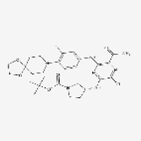 Cc1cc(Nc2nc(N[C@@H]3CCN(C(=O)OC(C)(C)C)C3)c(Cl)nc2C(N)=O)ccc1N1CCC2(CC1)OCCO2